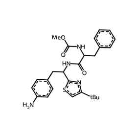 COC(=O)NC(Cc1ccccc1)C(=O)NC(Cc1ccc(N)cc1)c1nc(C(C)(C)C)cs1